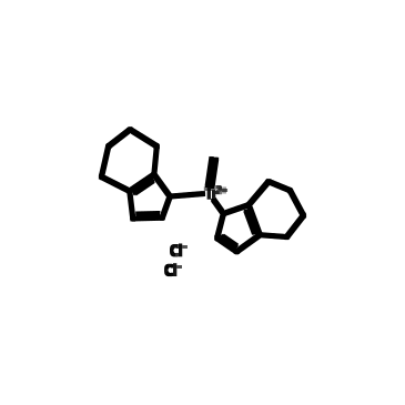 [CH2]=[Ti+2]([CH]1C=CC2=C1CCCC2)[CH]1C=CC2=C1CCCC2.[Cl-].[Cl-]